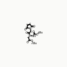 CC(C)(C)OC(=O)CN(NC(=O)OC(C)(C)C)C(=O)CN1C(=O)C=CC1=O